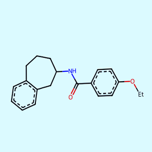 CCOc1ccc(C(=O)NC2CCCc3ccccc3C2)cc1